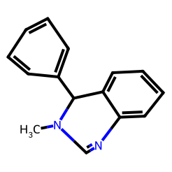 CN1C=Nc2ccccc2C1c1ccccc1